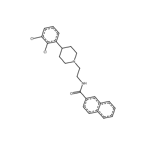 O=C(NCCN1CCC(c2cccc(Cl)c2Cl)CC1)c1ccc2ccccc2c1